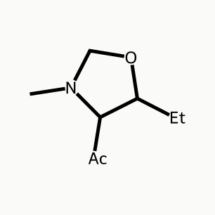 CCC1OCN(C)C1C(C)=O